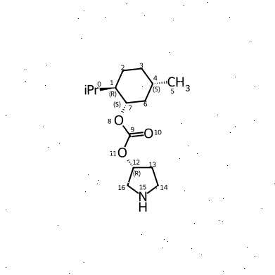 CC(C)[C@H]1CC[C@H](C)C[C@@H]1OC(=O)O[C@@H]1CCNC1